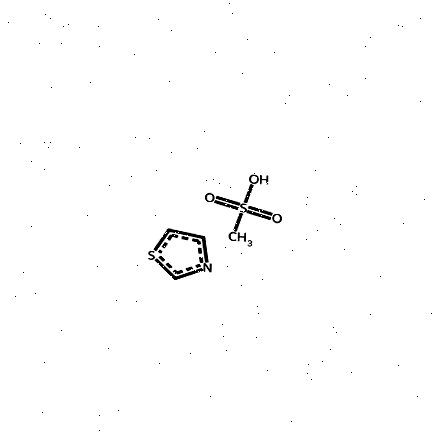 CS(=O)(=O)O.c1cscn1